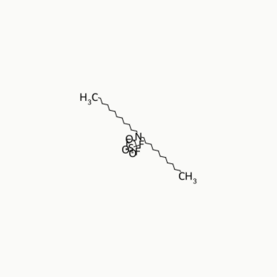 CCCCCCCCCCCCN(CCCCCCCCCCCC)C(=O)C(F)(F)S(=O)(=O)F